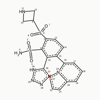 NS(=O)(=O)c1c(S(=O)(=O)C2CNC2)ccc(-c2cccc3ccnn23)c1-c1nnn[nH]1